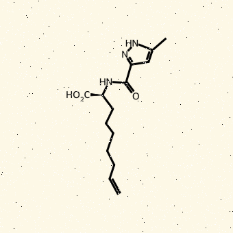 C=CCCCCC[C@H](NC(=O)c1cc(C)[nH]n1)C(=O)O